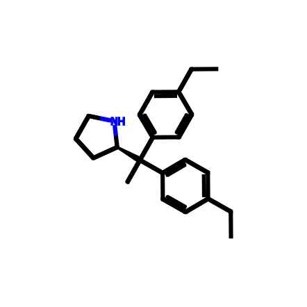 CCc1ccc(C(C)(c2ccc(CC)cc2)[C@H]2CCCN2)cc1